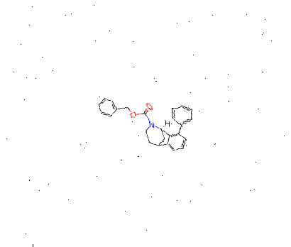 O=C(OCc1ccccc1)N1CCC2C[C@@H]1c1c(-c3ccccc3)cccc12